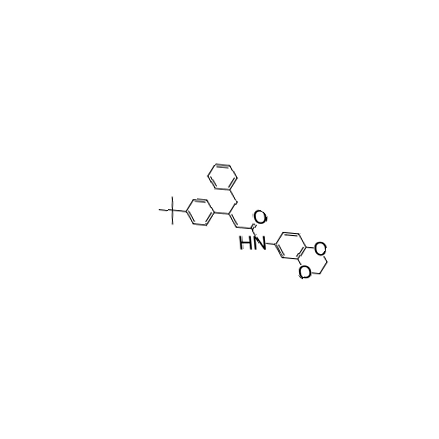 CC(C)(C)c1ccc(/C(=C/C(=O)Nc2ccc3c(c2)OCCO3)Cc2ccccc2)cc1